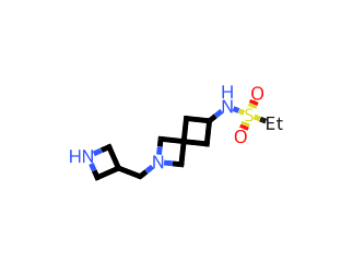 CCS(=O)(=O)NC1CC2(C1)CN(CC1CNC1)C2